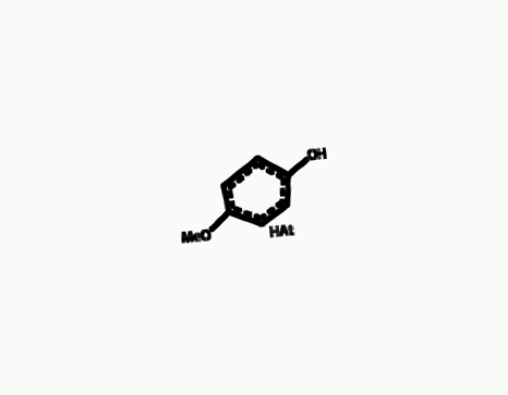 COc1ccc(O)cc1.[AtH]